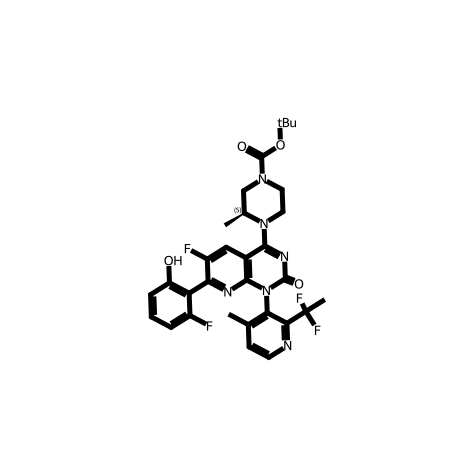 Cc1ccnc(C(C)(F)F)c1-n1c(=O)nc(N2CCN(C(=O)OC(C)(C)C)C[C@@H]2C)c2cc(F)c(-c3c(O)cccc3F)nc21